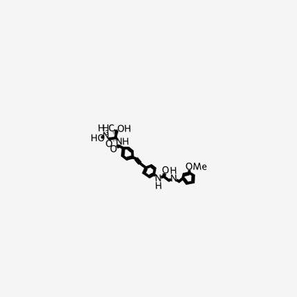 COc1cccc(CNCC(=O)Nc2ccc(C#Cc3ccc(C(=O)N[C@H](C(=O)NO)[C@@H](C)O)cc3)cc2)c1